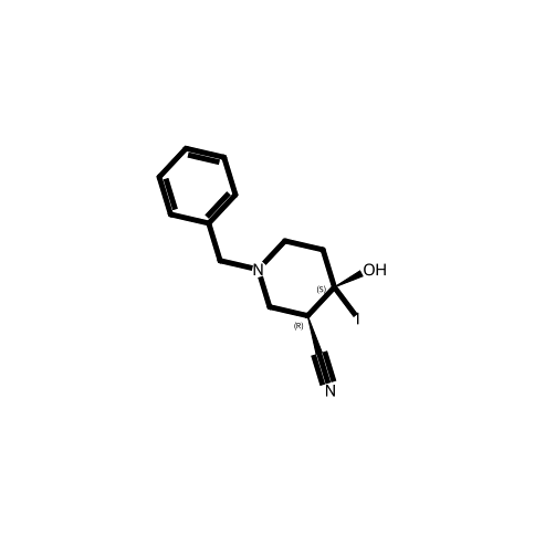 N#C[C@H]1CN(Cc2ccccc2)CC[C@]1(O)I